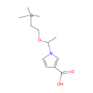 CC(OCC[Si](C)(C)C)n1ccc(C(=O)O)c1